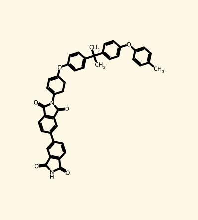 Cc1ccc(Oc2ccc(C(C)(C)c3ccc(OC4=CC=C(N5C(=O)c6ccc(-c7ccc8c(c7)C(=O)NC8=O)cc6C5=O)CC4)cc3)cc2)cc1